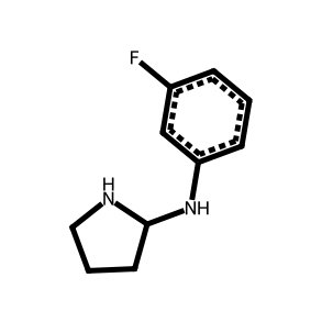 Fc1cccc(NC2CCCN2)c1